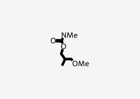 CNC(=O)OCC(C)COC